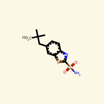 CC(C)(Cc1ccc2nc(S(N)(=O)=O)sc2c1)C(=O)O